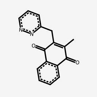 CC1=C(Cc2cccnn2)C(=O)c2ccccc2C1=O